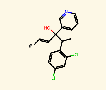 CCCC=CC(O)(c1cccnc1)C(C)c1ccc(Cl)cc1Cl